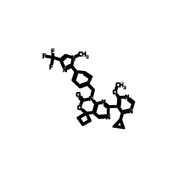 COc1ncnc(C2CC2)c1-c1ncc2c(n1)N(Cc1ccc(-c3nc(C(F)(F)F)cn3C)cc1)C(=O)OC21CCC1